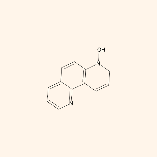 ON1CC=Cc2c1ccc1cccnc21